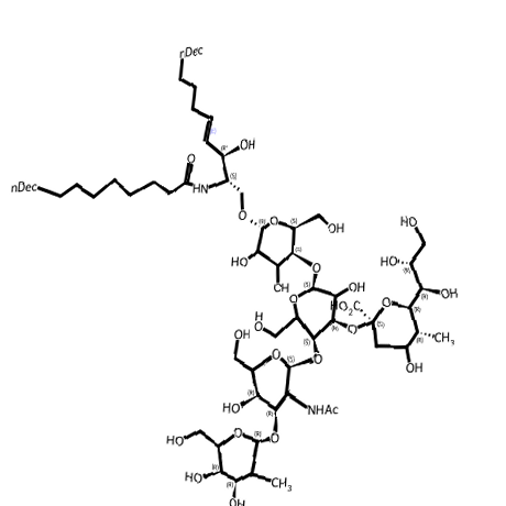 CCCCCCCCCCCCC/C=C/[C@@H](O)[C@H](CO[C@@H]1O[C@@H](CO)[C@@H](O[C@@H]2OC(CO)[C@H](O[C@@H]3OC(CO)[C@H](O)[C@H](O[C@@H]4OC(CO)[C@H](O)[C@H](O)C4C)C3NC(C)=O)[C@H](O[C@]3(C(=O)O)CC(O)[C@@H](C)[C@H]([C@H](O)[C@H](O)CO)O3)C2O)C(O)C1O)NC(=O)CCCCCCCCCCCCCCCCC